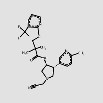 Cc1ccc([C@@H]2CN(CC#N)C[C@H]2NC(=O)C(C)(C)COc2ncccc2C(F)(F)F)cn1